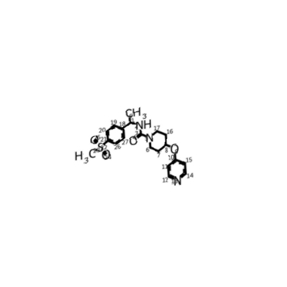 CC(NC(=O)N1CCC(Oc2ccncc2)CC1)c1ccc(S(C)(=O)=O)cc1